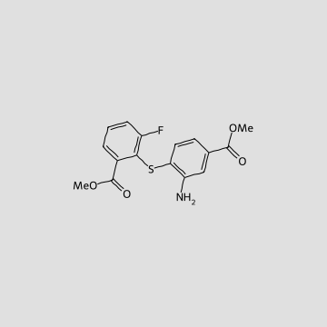 COC(=O)c1ccc(Sc2c(F)cccc2C(=O)OC)c(N)c1